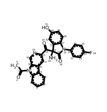 CC(=O)n1c2ccccc2c2cc(C(=O)C3(N)C(=O)N(c4ccc(F)cc4)c4ccc(O)cc43)ncc21